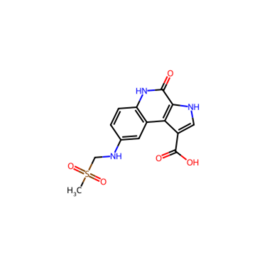 CS(=O)(=O)CNc1ccc2[nH]c(=O)c3[nH]cc(C(=O)O)c3c2c1